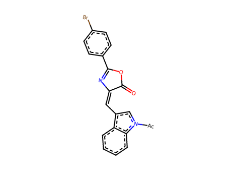 CC(=O)n1cc(C=C2N=C(c3ccc(Br)cc3)OC2=O)c2ccccc21